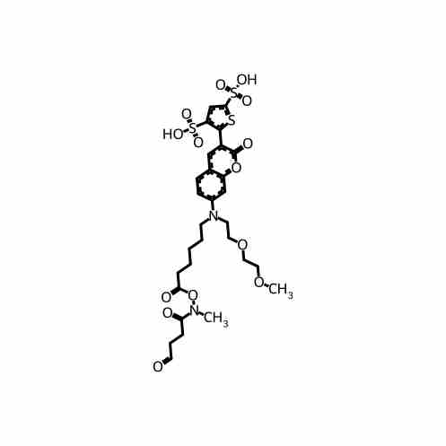 COCCOCCN(CCCCCC(=O)ON(C)C(=O)CCC=O)c1ccc2cc(-c3sc(S(=O)(=O)O)cc3S(=O)(=O)O)c(=O)oc2c1